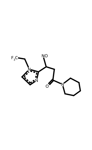 O=NC(CC(=O)N1CCCCC1)c1nccn1CC(F)(F)F